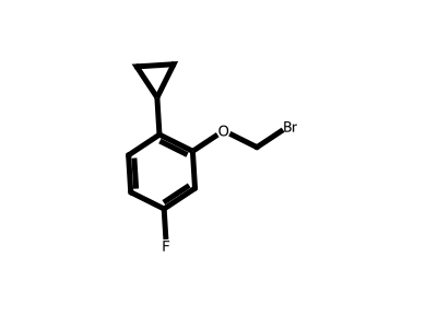 Fc1ccc(C2CC2)c(OCBr)c1